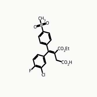 CCOC(=O)/C(CC(=O)O)=C(\c1ccc(S(C)(=O)=O)cc1)c1ccc(F)c(Cl)c1